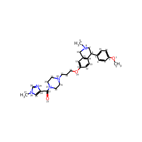 COc1ccc(C2CN(C)Cc3cc(OCCCN4CCN(C(=O)c5cn(C)cn5)CC4)ccc32)cc1